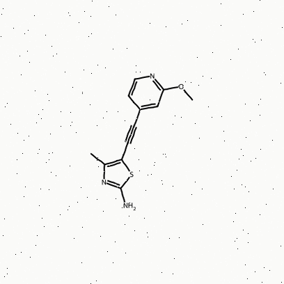 COc1cc(C#Cc2sc(N)nc2C)ccn1